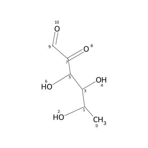 CC(O)C(O)C(O)C(=O)C=O